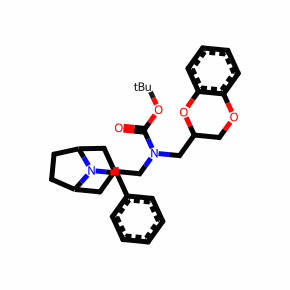 CC(C)(C)OC(=O)N(CC1CC2CCC(C1)N2Cc1ccccc1)CC1COc2ccccc2O1